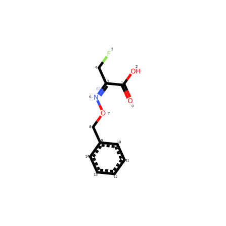 O=C(O)/C(CF)=N\OCc1ccccc1